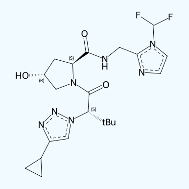 CC(C)(C)[C@@H](C(=O)N1C[C@H](O)C[C@H]1C(=O)NCc1nccn1C(F)F)n1cc(C2CC2)nn1